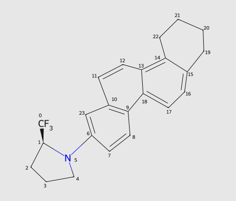 FC(F)(F)[C@@H]1CCCN1c1ccc2c(ccc3c4c(ccc32)CCCC4)c1